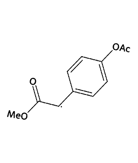 COC(=O)[CH]c1ccc(OC(C)=O)cc1